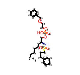 CCCCCCC(COP(=O)(O)OCCOCc1ccccc1)NS(=O)(=O)CCCc1ccccc1